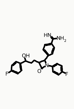 N=C(N)c1ccc(C2C(CCC(O)c3ccc(F)cc3)C(=O)N2c2ccc(F)cc2)cc1